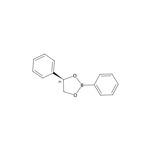 c1ccc(B2OC[C@@H](c3ccccc3)O2)cc1